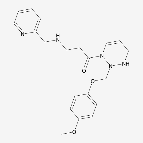 COc1ccc(OCN2NCC=CN2C(=O)CCNCc2ccccn2)cc1